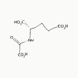 O=C(O)CC[C@H](NC(=O)C(=O)O)C(=O)O